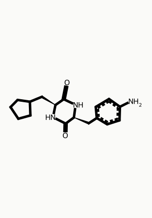 Nc1ccc(C[C@@H]2NC(=O)[C@H](CC3CCCC3)NC2=O)cc1